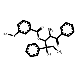 CCC(O)(c1ccccc1)C(OC(=O)c1cccc(OC)c1)C(N)C(=O)c1ccccc1